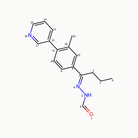 CCC/C(=N\NC=O)c1ccc(-c2cccnc2)c(C)c1